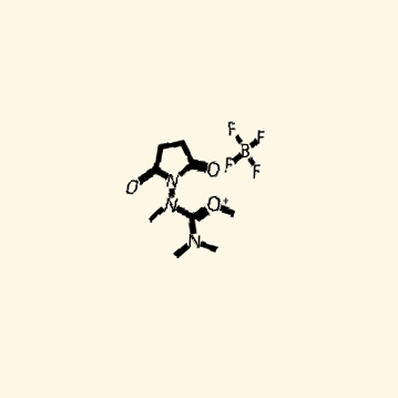 C[O+]=C(N(C)C)N(C)N1C(=O)CCC1=O.F[B-](F)(F)F